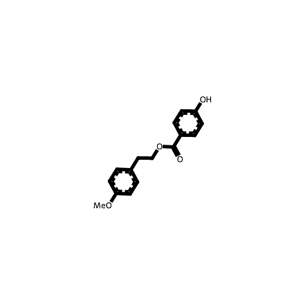 COc1ccc(CCOC(=O)c2ccc(O)cc2)cc1